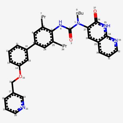 CCCCN(C(=O)Nc1c(C(C)C)cc(-c2cccc(OCc3cccnc3)c2)cc1C(C)C)c1cc2cccnc2[nH]c1=O